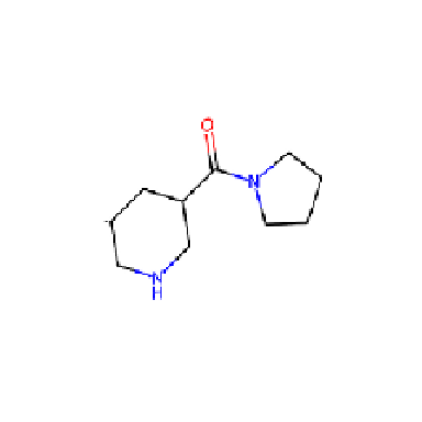 O=C(C1C[CH]CNC1)N1CCCC1